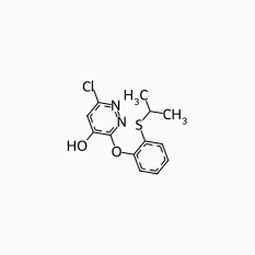 CC(C)Sc1ccccc1Oc1nnc(Cl)cc1O